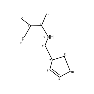 CC(F)C(C)NCC1C=CCC1